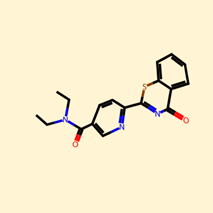 CCN(CC)C(=O)c1ccc(-c2nc(=O)c3ccccc3s2)nc1